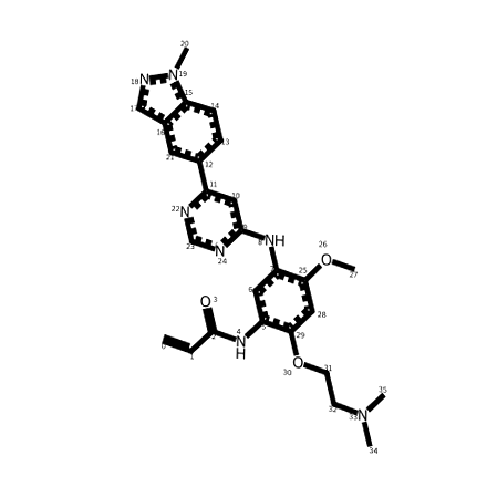 C=CC(=O)Nc1cc(Nc2cc(-c3ccc4c(cnn4C)c3)ncn2)c(OC)cc1OCCN(C)C